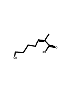 CC(=CCCCCS)C(=O)O